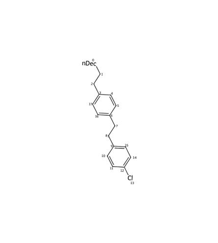 CCCCCCCCCCCCc1ccc(C[CH]c2ccc(Cl)cc2)cc1